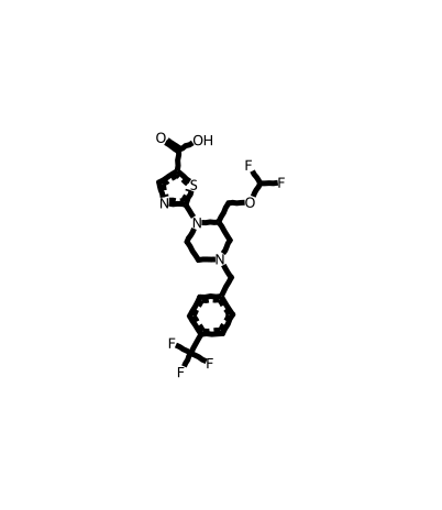 O=C(O)c1cnc(N2CCN(Cc3ccc(C(F)(F)F)cc3)CC2COC(F)F)s1